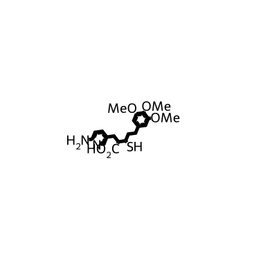 COc1cc(CCC(S)C(Cc2ccc(N)nc2)C(=O)O)cc(OC)c1OC